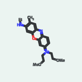 CCNc1cc2oc3cc(=[N+](CCOC)CCOC)ccc-3nc2cc1C